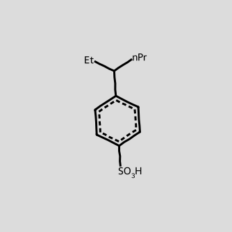 CCCC(CC)c1ccc(S(=O)(=O)O)cc1